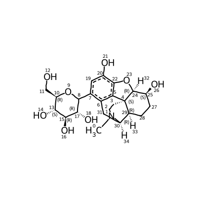 CN1CC[C@]23c4c5c(C6O[C@H](CO)[C@@H](O)[C@H](O)[C@H]6O)cc(O)c4O[C@H]2[C@@H](O)CC[C@H]3[C@H]1C5